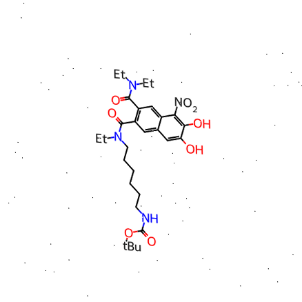 CCN(CC)C(=O)c1cc2c([N+](=O)[O-])c(O)c(O)cc2cc1C(=O)N(CC)CCCCCCNC(=O)OC(C)(C)C